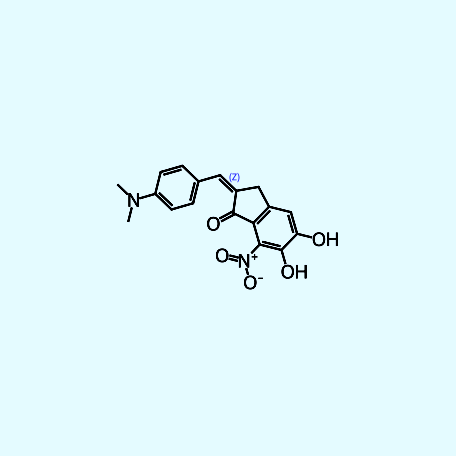 CN(C)c1ccc(/C=C2/Cc3cc(O)c(O)c([N+](=O)[O-])c3C2=O)cc1